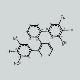 C/C=C\C(=C(/C)c1cc(C#N)c(F)c(C#N)c1)c1ccccc1-c1cc(C#N)c(F)c(C#N)c1